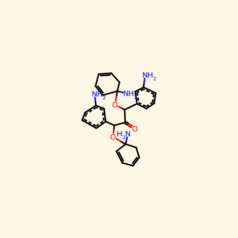 Nc1cccc(C(OC2(N)C=CC=CC2)C(=O)C(OC2(N)C=CC=CC2)c2cccc(N)c2)c1